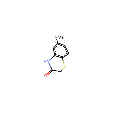 CNc1ccc2c(c1)NC(=O)CS2